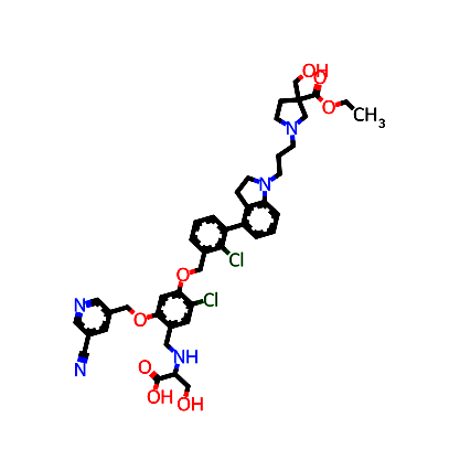 CCOC(=O)C1(CO)CCN(CCCN2CCc3c(-c4cccc(COc5cc(OCc6cncc(C#N)c6)c(CNC(CO)C(=O)O)cc5Cl)c4Cl)cccc32)C1